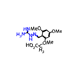 CC(=O)O.COc1cc(OC)c(/C=N/NC(=N)N)c(OC)c1